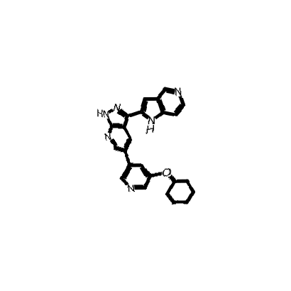 c1cc2[nH]c(-c3n[nH]c4ncc(-c5cncc(OC6CCCCC6)c5)cc34)cc2cn1